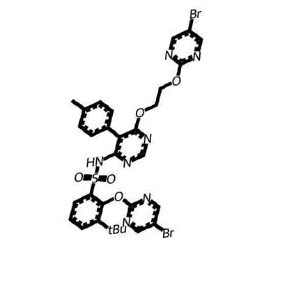 Cc1ccc(-c2c(NS(=O)(=O)c3cccc(C(C)(C)C)c3Oc3ncc(Br)cn3)ncnc2OCCOc2ncc(Br)cn2)cc1